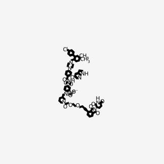 CC1(C)CCC(CN2CCN(c3ccc(C(=O)NS(=O)(=O)c4ccc(NCC5CCCN(C(=O)COCCOCCC#Cc6cccc7c6C(=O)N(C6CCC(=O)NC6=O)C7=O)C5)c([N+](=O)[O-])c4)c(Oc4cnc5[nH]ccc5c4)c3)CC2)=C(c2ccc(Cl)cc2)C1